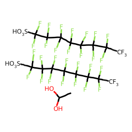 CC(O)O.O=S(=O)(O)C(F)(F)C(F)(F)C(F)(F)C(F)(F)C(F)(F)C(F)(F)C(F)(F)C(F)(F)F.O=S(=O)(O)C(F)(F)C(F)(F)C(F)(F)C(F)(F)C(F)(F)C(F)(F)C(F)(F)C(F)(F)F